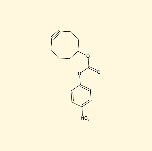 O=C(Oc1ccc([N+](=O)[O-])cc1)OC1CCC#CCCC1